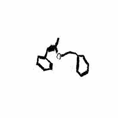 CC(=Cc1ccccc1)OCc1ccccc1